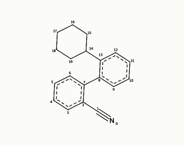 N#Cc1ccccc1-c1ccccc1C1CCCCC1